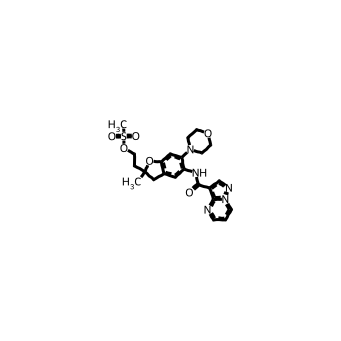 CC1(CCOS(C)(=O)=O)Cc2cc(NC(=O)c3cnn4cccnc34)c(N3CCOCC3)cc2O1